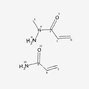 C=CC(=O)N(C)N.C=CC(N)=O